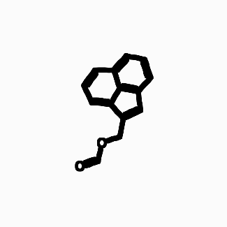 O=COCC1=Cc2cccc3cccc1c23